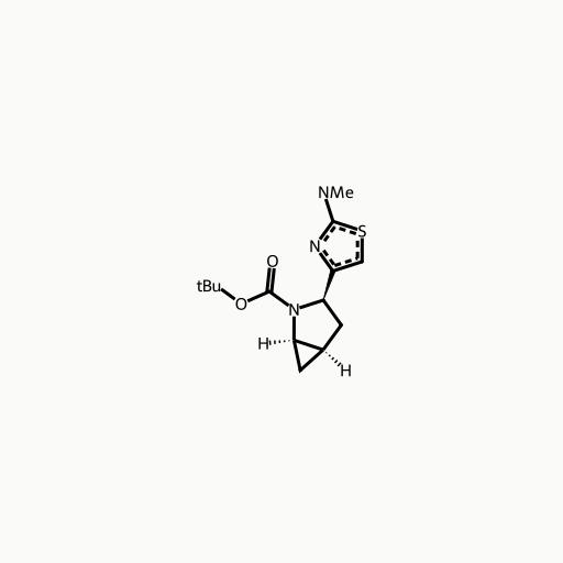 CNc1nc([C@H]2C[C@H]3C[C@H]3N2C(=O)OC(C)(C)C)cs1